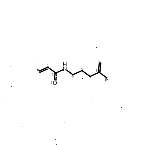 C=CC(=O)NCCCC(=C)C